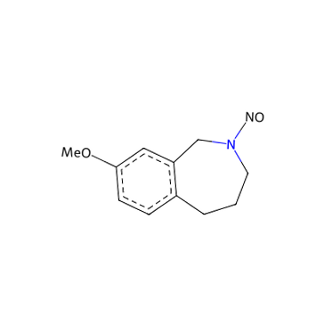 COc1ccc2c(c1)CN(N=O)CCC2